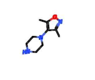 Cc1noc(C)c1N1CCNCC1